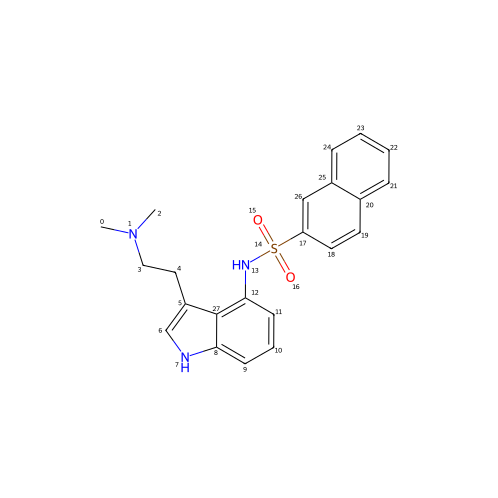 CN(C)CCc1c[nH]c2cccc(NS(=O)(=O)c3ccc4ccccc4c3)c12